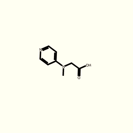 CN(CC(=O)O)c1ccncc1